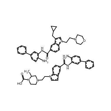 CC1CN(CCn2ccc3cc(C(=O)Nc4cc(-c5ccccc5)ccc4N)ccc32)CCN1C(=O)O.Nc1ccc(-c2ccccc2)cc1NC(=O)c1ccc2c(c1)c(CC1CC1)cn2CCN1CCOCC1